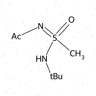 CC(=O)N=S(C)(=O)NC(C)(C)C